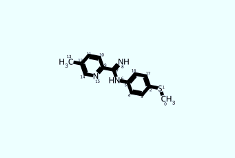 CSc1ccc(NC(=N)c2ccc(C)cn2)cc1